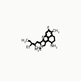 C=C/C(CC)=C(C)\C=C1\c2nc3cc(F)c(C)c4c3c(c2CN1C)C(N)CC4